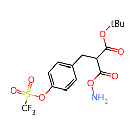 CC(C)(C)OC(=O)C(Cc1ccc(OS(=O)(=O)C(F)(F)F)cc1)C(=O)ON